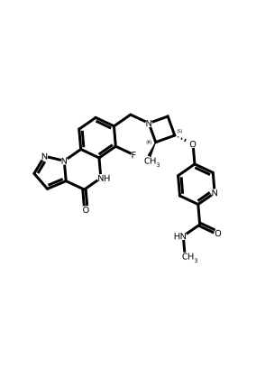 CNC(=O)c1ccc(O[C@H]2CN(Cc3ccc4c([nH]c(=O)c5ccnn54)c3F)[C@@H]2C)cn1